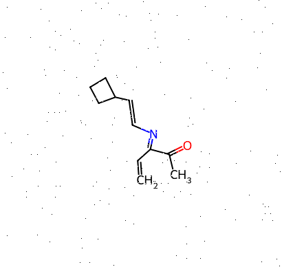 C=C/C(=N\C=C\C1CCC1)C(C)=O